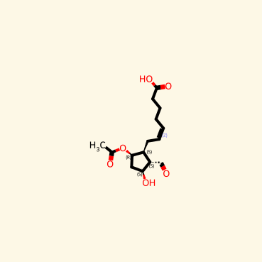 CC(=O)O[C@@H]1C[C@H](O)[C@@H](C=O)[C@@H]1C/C=C\CCCC(=O)O